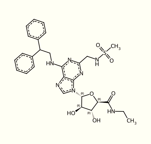 CCNC(=O)[C@@H]1O[C@@H](n2cnc3c(NCC(c4ccccc4)c4ccccc4)nc(CNS(C)(=O)=O)nc32)[C@H](O)[C@H]1O